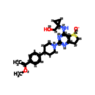 C=C(OC)c1ccc(C2CCN(c3nc4c(c(NC5(CO)CC5)n3)[S@@+]([O-])CC4)CC2)cc1